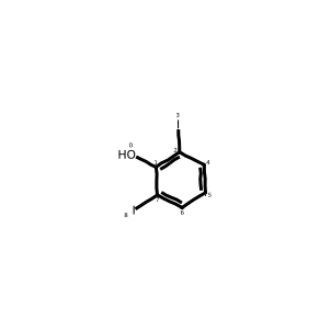 Oc1c(I)c[c]cc1I